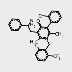 Cc1c(CC(N)c2ccccc2)c(=O)c(-c2ccccc2Cl)c(C)n1Cc1c(F)cccc1C(F)(F)F